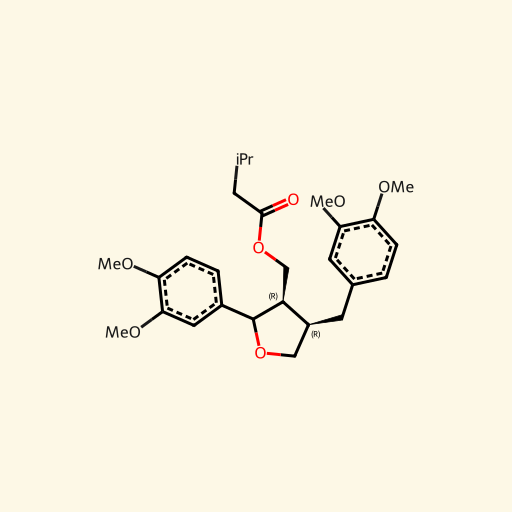 COc1ccc(C[C@H]2COC(c3ccc(OC)c(OC)c3)[C@H]2COC(=O)CC(C)C)cc1OC